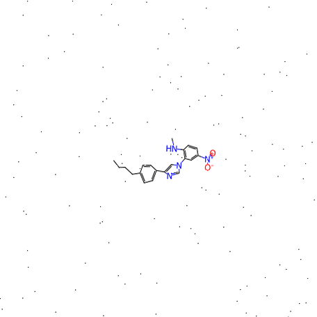 CCCCc1ccc(-c2cn(-c3cc([N+](=O)[O-])ccc3NC)cn2)cc1